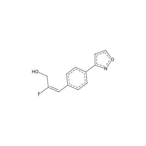 OC/C(F)=C\c1ccc(-c2ccon2)cc1